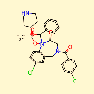 O=C(c1ccc(Cl)cc1)N1CC(=O)[N+](OC(=O)C(F)(F)F)(C(OC2CCNCC2)c2ccccc2)c2ccc(Cl)cc2C1